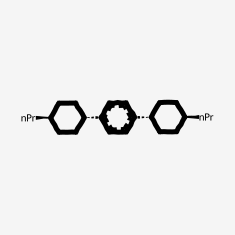 CCC[C@H]1CC[C@H](c2ccc([C@H]3CC[C@H](CCC)CC3)cc2)CC1